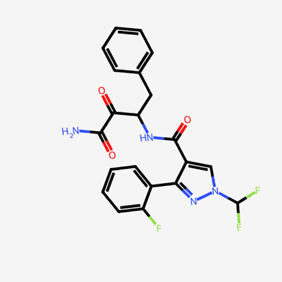 NC(=O)C(=O)C(Cc1ccccc1)NC(=O)c1cn(C(F)F)nc1-c1ccccc1F